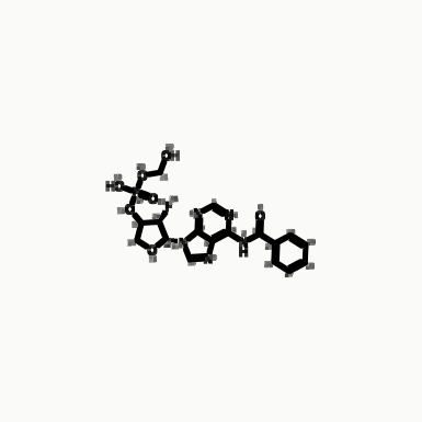 O=C(Nc1ncnc2c1ncn2[C@@H]1OCC(OP(=O)(O)OCO)[C@H]1F)c1ccccc1